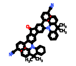 CC1(C)C2=CCCC=C2N(c2cc3c(cc2-c2ccc(C#N)cc2)C(=O)c2cc(-c4ccc(C#N)cc4)c(N4C5=C(C=C=C=C5)C(C)(C)c5ccccc54)cc2-3)c2ccccc21